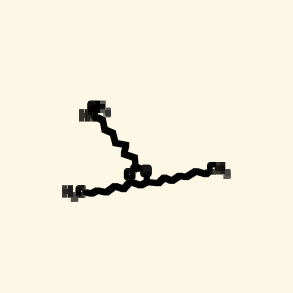 CCCCCCCCC(CCCCCCCC)OC(=O)CCCCCCCNC